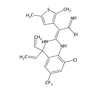 C=CC1(C=C)N/C(=C(/C(=N)CC)c2cc(C)sc2C)Nc2c(Cl)cc(C(F)(F)F)cc21